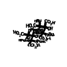 CCCCC(CCCC)(C(=O)O)C(O)(C(=O)O)C(CCCC)(C(C)=O)C(=O)O.CCCCCC(CCCCC)(C(=O)O)C(O)(C(=O)O)C(CCCCC)(C(C)=O)C(=O)O